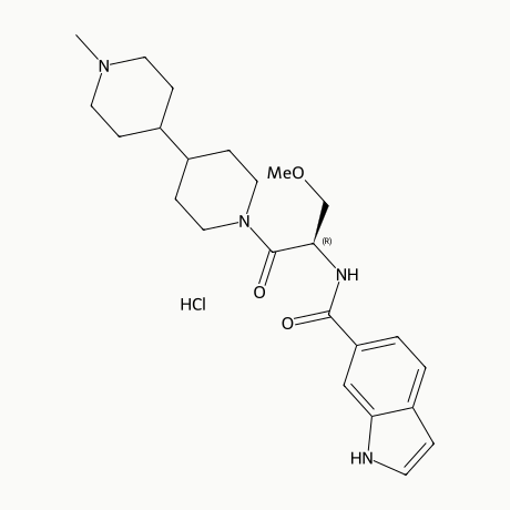 COC[C@@H](NC(=O)c1ccc2cc[nH]c2c1)C(=O)N1CCC(C2CCN(C)CC2)CC1.Cl